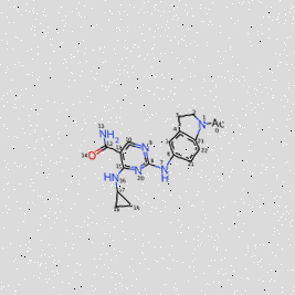 CC(=O)N1CCc2cc(Nc3ncc(C(N)=O)c(NC4CC4)n3)ccc21